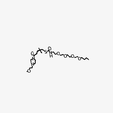 CCCCOCCOCCOCCOCCNC(=O)SCC(C)(C)CCC(=O)N1CCN(CCOC)CC1